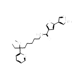 CCC(CCCCCNC(=O)c1csc(-c2cn[nH]c2)c1)(OC)c1ccccn1